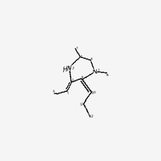 CC=C1NC(C)CN(C)/C1=C/CC